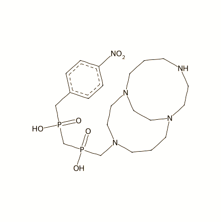 O=[N+]([O-])c1ccc(CP(=O)(O)CP(=O)(O)CN2CCCN3CCNCCCN(CC3)CC2)cc1